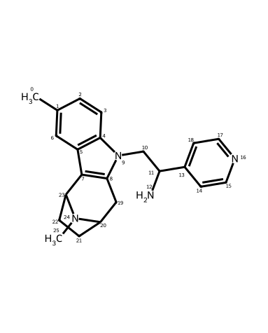 Cc1ccc2c(c1)c1c(n2CC(N)c2ccncc2)CC2CCC1N2C